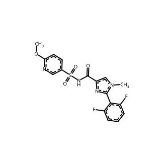 COc1ccc(S(=O)(=O)NC(=O)c2cn(C)c(-c3c(F)cccc3F)n2)cn1